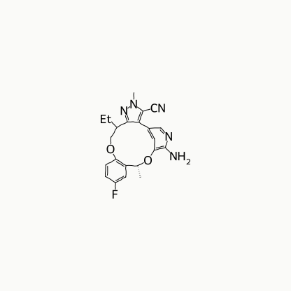 CCC1COc2ccc(F)cc2[C@@H](C)Oc2cc(cnc2N)-c2c1nn(C)c2C#N